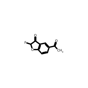 CC(=O)c1ccc2c(c1)C(=O)C(F)O2